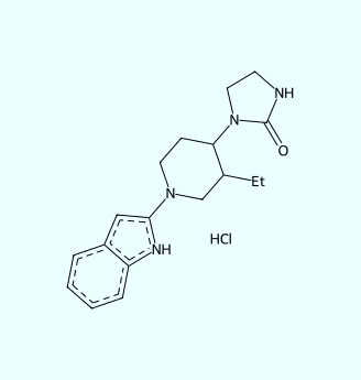 CCC1CN(c2cc3ccccc3[nH]2)CCC1N1CCNC1=O.Cl